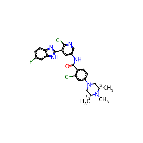 C[C@@H]1CN(c2ccc(C(=O)Nc3cnc(Cl)c(-c4nc5ccc(F)cc5[nH]4)c3)c(Cl)c2)C[C@H](C)N1C